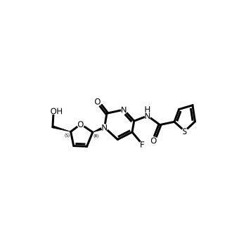 O=C(Nc1nc(=O)n([C@H]2C=C[C@@H](CO)O2)cc1F)c1cccs1